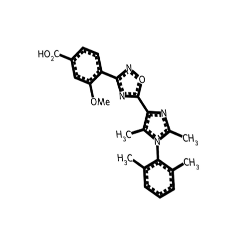 COc1cc(C(=O)O)ccc1-c1noc(-c2nc(C)n(-c3c(C)cccc3C)c2C)n1